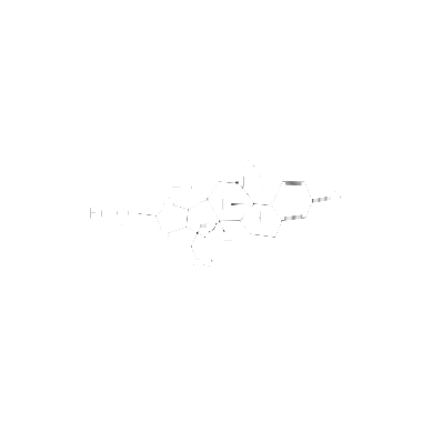 CCOC(=O)C1OC2C[C@H]3[C@@H]4CCC5=CC(=O)C=C[C@]5(C)[C@@]4(F)[C@@H](O)C[C@]3(C)[C@]2(C(=O)COC(C)=O)O1